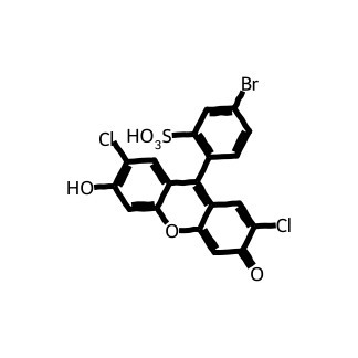 O=c1cc2oc3cc(O)c(Cl)cc3c(-c3ccc(Br)cc3S(=O)(=O)O)c-2cc1Cl